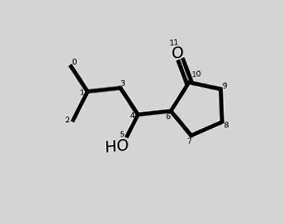 CC(C)CC(O)C1CCCC1=O